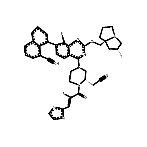 C#Cc1cccc2cccc(-c3ccc4c(N5CCN(C(=O)/C(F)=C/c6nccs6)[C@@H](CC#N)C5)nc(OC[C@@]56CCCN5C[C@H](F)C6)nc4c3F)c12